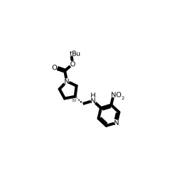 CC(C)(C)OC(=O)N1CC[C@@H](CNc2ccncc2[N+](=O)[O-])C1